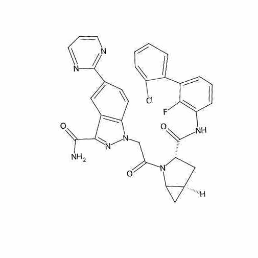 NC(=O)c1nn(CC(=O)N2C3C[C@@H]3C[C@H]2C(=O)Nc2cccc(-c3ccccc3Cl)c2F)c2ccc(-c3ncccn3)cc12